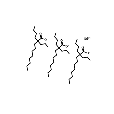 CCCCCCCCC(CCC)(CCCC)C(=O)[O-].CCCCCCCCC(CCC)(CCCC)C(=O)[O-].CCCCCCCCC(CCC)(CCCC)C(=O)[O-].[Nd+3]